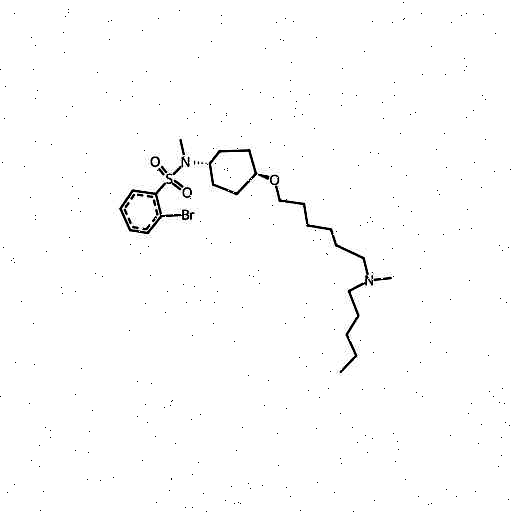 CCCCCN(C)CCCCCCO[C@H]1CC[C@H](N(C)S(=O)(=O)c2ccccc2Br)CC1